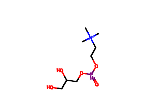 C[N+](C)(C)CCO[PH](=O)OCC(O)CO